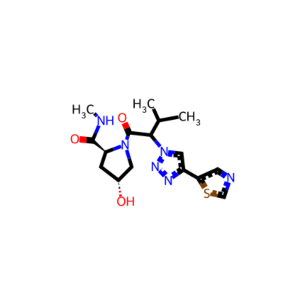 CNC(=O)[C@@H]1C[C@@H](O)CN1C(=O)C(C(C)C)n1cc(-c2cncs2)nn1